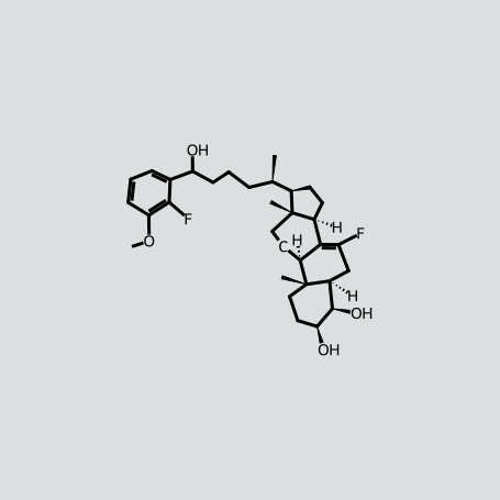 COc1cccc(C(O)CCC[C@@H](C)[C@H]2CC[C@H]3C4=C(F)C[C@H]5[C@@H](O)[C@@H](O)CC[C@]5(C)[C@H]4CC[C@]23C)c1F